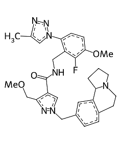 COCc1nn(Cc2ccc3c(c2)C2CCCN2CC3)cc1C(=O)NCc1c(-n2cc(C)nn2)ccc(OC)c1F